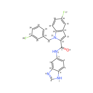 O=C(Nc1ccc2[nH]cnc2c1)c1cc2cc(F)ccc2n1Cc1cccc(F)c1